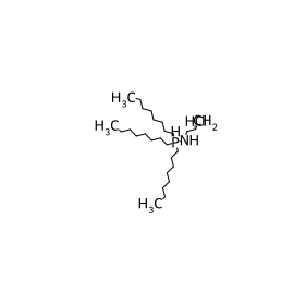 C=CCN[PH](CCCCCCCC)(CCCCCCCC)CCCCCCCC.Cl